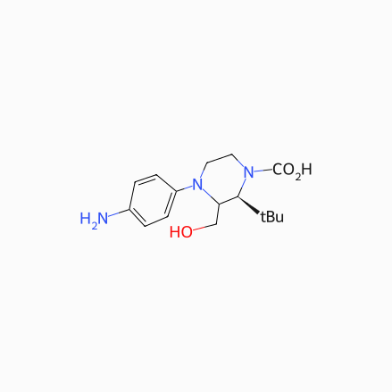 CC(C)(C)[C@H]1C(CO)N(c2ccc(N)cc2)CCN1C(=O)O